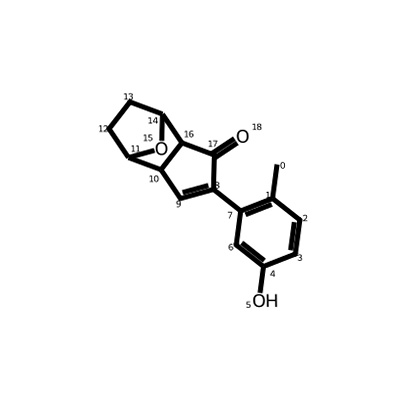 Cc1ccc(O)cc1C1=CC2C3CCC(O3)C2C1=O